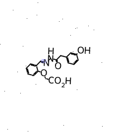 O=C(O)COc1ccccc1/C=N/NC(=O)Cc1cccc(O)c1